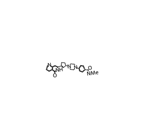 CNC(=O)c1ccc(N2CCN(C3C=C(c4cc5ncccc5c(=O)[nH]4)CC3)CC2)cc1